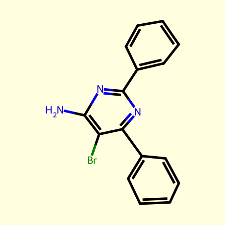 Nc1nc(-c2ccccc2)nc(-c2ccccc2)c1Br